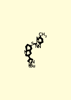 Cc1ccc2nnc(Sc3ccc4ncc(-c5cnn(C(C)(C)C)c5)cc4c3)n2n1